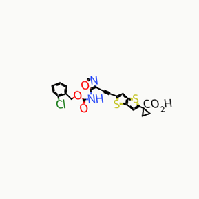 O=C(Nc1ocnc1C#Cc1cc2sc(C3(C(=O)O)CC3)cc2s1)OCc1ccccc1Cl